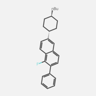 CCCC[C@H]1CC[C@H](c2ccc3c(F)c(-c4ccccc4)ccc3c2)CC1